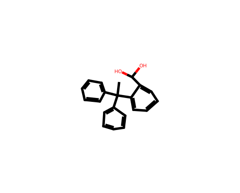 CC(c1ccccc1)(c1ccccc1)c1ccccc1C(O)O